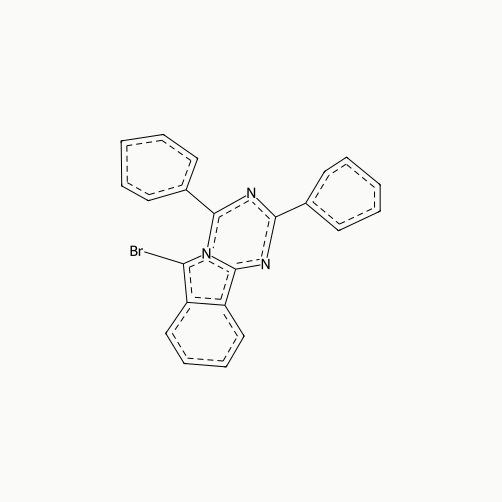 Brc1c2ccccc2c2nc(-c3ccccc3)nc(-c3ccccc3)n12